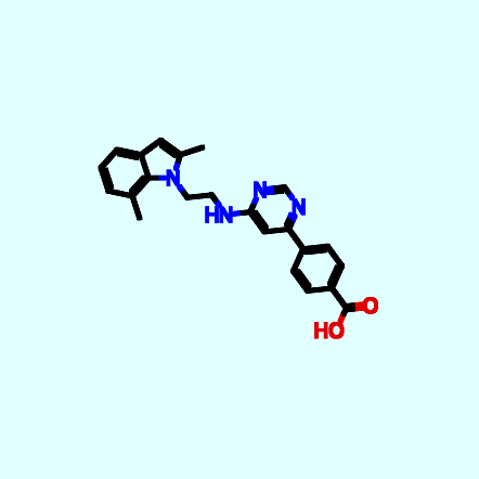 Cc1cccc2cc(C)n(CCNc3cc(-c4ccc(C(=O)O)cc4)ncn3)c12